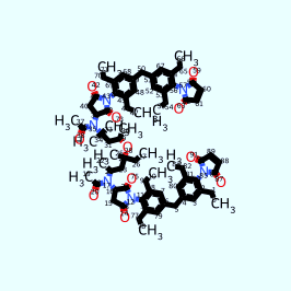 CCc1cc(Cc2cc(CC)c(N3C(=O)CC(N(C(C)=O)C(C)CC(C)(CC)OC(C)CC(C)(C)N(C(C)=O)C4CC(=O)N(c5c(CC)cc(Cc6cc(CC)c(N7C(=O)C=CC7=O)c(CC)c6)cc5CC)C4=O)C3=O)c(CC)c2)cc(CC)c1N1C(=O)C=CC1=O